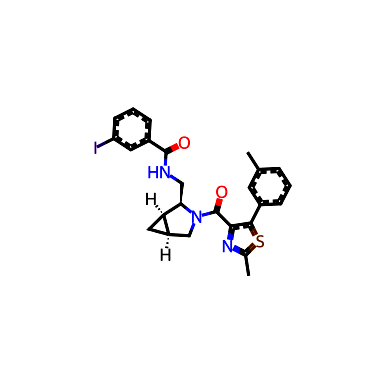 Cc1cccc(-c2sc(C)nc2C(=O)N2C[C@H]3C[C@H]3[C@H]2CNC(=O)c2cccc(I)c2)c1